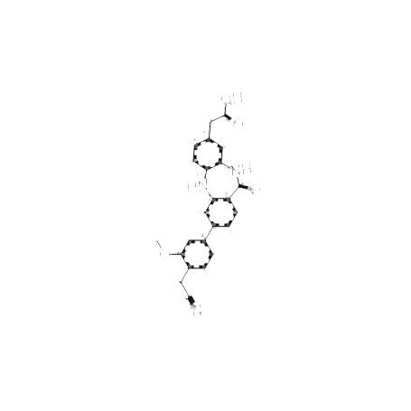 COc1cc(-c2ccc3c(c2)Nc2ccc(CC(=O)O)cc2NC3=O)ccc1CC#N